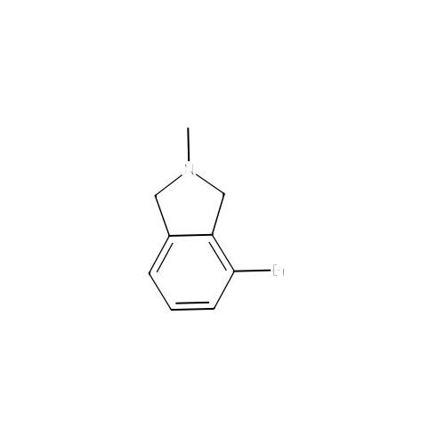 CN1Cc2cccc(Br)c2C1